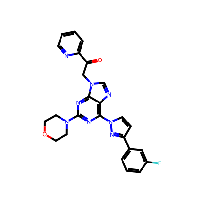 O=C(Cn1cnc2c(-n3ccc(-c4cccc(F)c4)n3)nc(N3CCOCC3)nc21)c1ccccn1